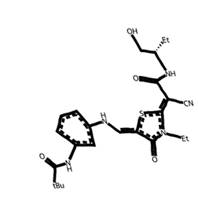 CC[C@@H](CO)NC(=O)C(C#N)=c1sc(=CNc2cccc(NC(=O)C(C)(C)C)c2)c(=O)n1CC